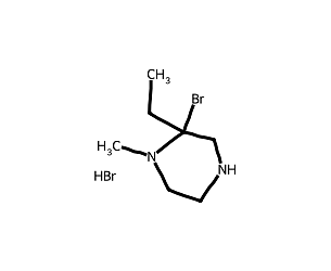 Br.CCC1(Br)CNCCN1C